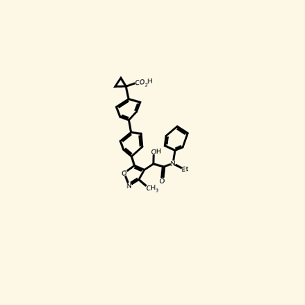 CCN(C(=O)C(O)c1c(C)noc1-c1ccc(-c2ccc(C3(C(=O)O)CC3)cc2)cc1)c1ccccc1